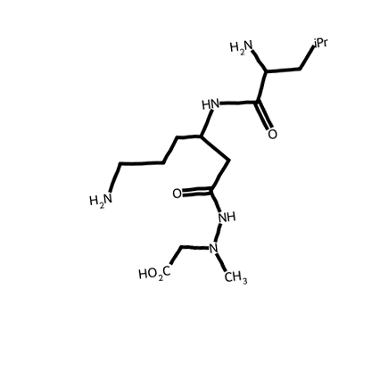 CC(C)CC(N)C(=O)NC(CCCN)CC(=O)NN(C)CC(=O)O